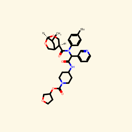 CC1CC2CO[C@H]1OC[C@H]2C(=O)N(c1ccc(C(C)(C)C)cc1)C(C(=O)NC1CCN(C(=O)OC2CCOC2)CC1)c1cccnc1